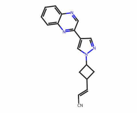 N#CC=CC1CC(n2cc(-c3cnc4ccccc4n3)cn2)C1